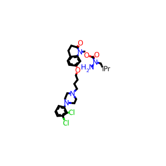 CC(C)CN(N)C(=O)OCN1C(=O)CCc2ccc(OCCCCN3CCN(c4cccc(Cl)c4Cl)CC3)cc21